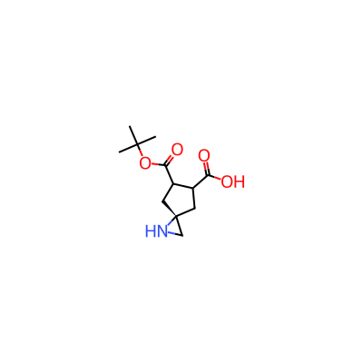 CC(C)(C)OC(=O)C1C[C@]2(CN2)CC1C(=O)O